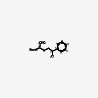 CCCC(C)N(C=O)CCC(Cl)c1ccccc1